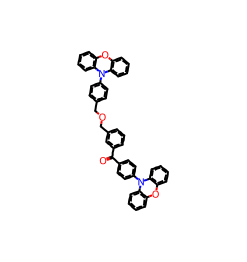 O=C(c1ccc(N2c3ccccc3Oc3ccccc32)cc1)c1cccc(COCc2ccc(N3c4ccccc4Oc4ccccc43)cc2)c1